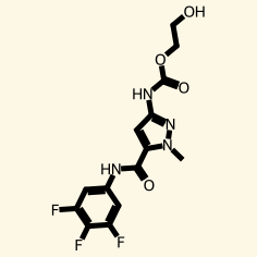 Cn1nc(NC(=O)OCCO)cc1C(=O)Nc1cc(F)c(F)c(F)c1